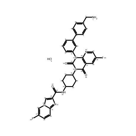 Cl.NCc1ccc(-c2cccc(-n3c(=O)n(C4CCC(NC(=O)c5cn6cc(F)ccc6n5)CC4)c(=O)c4cc(F)cnc43)c2)cc1